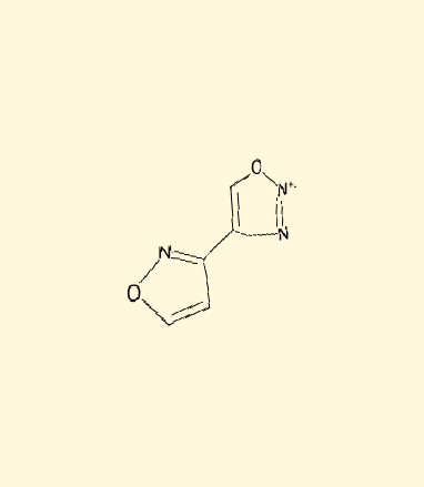 C1=C(c2ccon2)N=[N+]O1